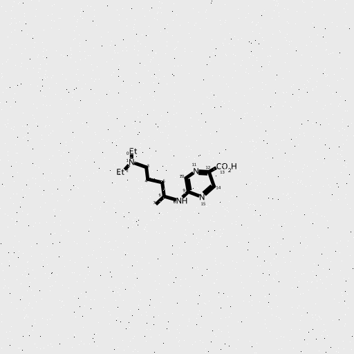 CCN(CC)CCCC(C)Nc1cnc(C(=O)O)cn1